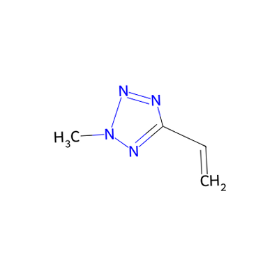 C=Cc1nnn(C)n1